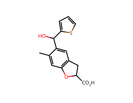 Cc1cc2c(cc1C(O)c1cccs1)CC(C(=O)O)O2